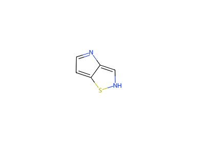 c1cc2s[nH]cc-2n1